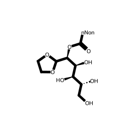 CCCCCCCCCC(=O)O[C@H](C1OCCO1)[C@@H](O)[C@H](O)[C@H](O)CO